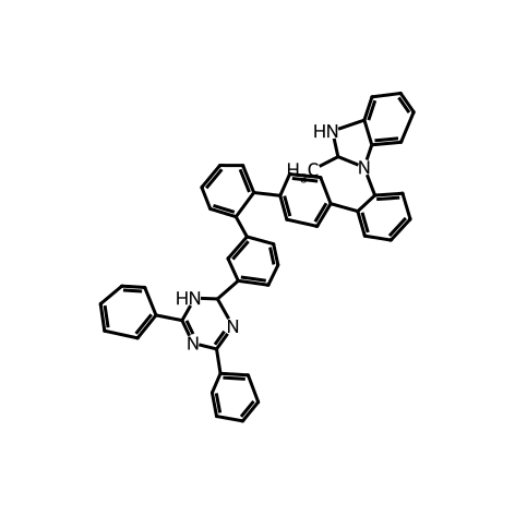 CC1Nc2ccccc2N1c1ccccc1-c1ccc(-c2ccccc2-c2cccc(C3N=C(c4ccccc4)N=C(c4ccccc4)N3)c2)cc1